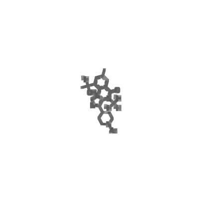 [2H]C(C)(O)c1cc(C)cc2c(=O)n(C([2H])([2H])[2H])c3c(C4CCN(C(C)=O)CC4)ncn3c12